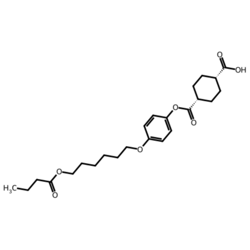 CCCC(=O)OCCCCCCOc1ccc(OC(=O)[C@H]2CC[C@@H](C(=O)O)CC2)cc1